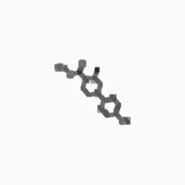 C[C@H]1CN(c2ncc(C#N)cn2)CCN1C(=O)OC(C)(C)C